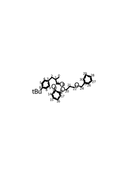 CC(Cc1ccc(C(C)(C)C)cc1)C(=O)Oc1ccccc1OCCCOCc1ccccc1